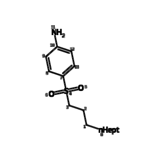 CCCCCCCCCCS(=O)(=O)c1ccc(N)cc1